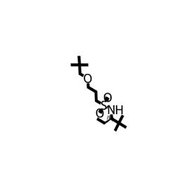 CC[C@@H](NS(=O)(=O)CCCOCC(C)(C)C)C(C)(C)C